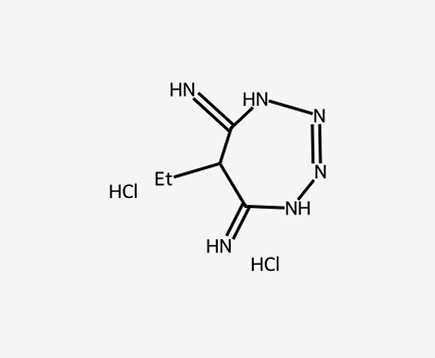 CCC1C(=N)NN=NNC1=N.Cl.Cl